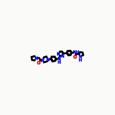 O=C(Nc1ccc(-c2ccnc(Nc3ccc(N4CCN(C(=O)CN5CCCC5)CC4)cc3)n2)cc1)C1CCCN1